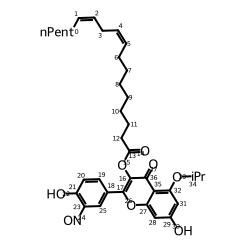 CCCCC/C=C\C/C=C\CCCCCCCC(=O)Oc1c(-c2ccc(O)c(N=O)c2)oc2cc(O)cc(OC(C)C)c2c1=O